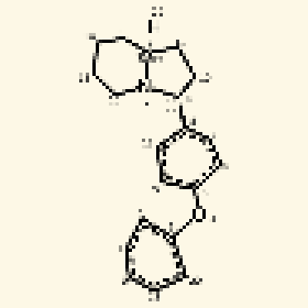 c1ccc(Oc2ccc([C@@H]3CC[C@@H]4CCCCN43)cc2)cc1